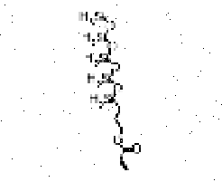 C=CC(=O)OCCC[SiH2]O[SiH2]O[SiH2]O[SiH2]O[SiH3]